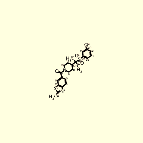 Cc1nc2ccc(C(=O)N3CCC(C(C)(C)S(=O)(=O)c4cccc(C(F)(F)F)c4)CC3)cc2s1